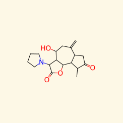 C=C1CC(O)C2C(OC(=O)C2N2CCCC2)C2C(C)C(=O)CC12